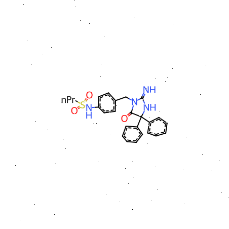 CCCS(=O)(=O)Nc1ccc(CN2C(=N)NC(c3ccccc3)(c3ccccc3)C2=O)cc1